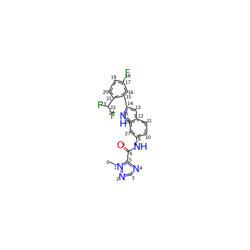 Cn1ncnc1C(=O)Nc1ccc2cc(-c3cc(F)ccc3C(F)F)[nH]c2c1